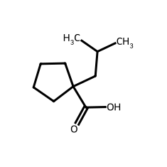 CC(C)CC1(C(=O)O)CCCC1